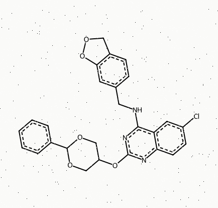 Clc1ccc2nc(OC3COC(c4ccccc4)OC3)nc(NCc3ccc4c(c3)OOC4)c2c1